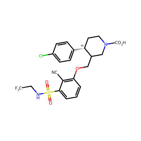 N#Cc1c(OCC2CN(C(=O)O)CC[C@H]2c2ccc(Cl)cc2)cccc1S(=O)(=O)NCC(F)(F)F